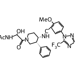 COc1ccc(-n2nnnc2C(F)(F)F)cc1CN[C@H]1CCN(C(=O)C(O)NC(C)=O)C[C@H]1c1ccccc1